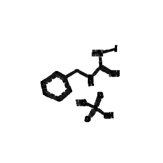 N=C(NI)NCc1ccccc1.O=S(=O)(O)O